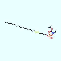 CCCCCCCCCCCCCCCCSSCCCCOP(=O)(O)ON(CC)C(=O)OC(C)C